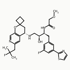 COCC(=O)N[C@@H](Cc1cc(F)cc(-c2nccs2)c1)[C@@H](O)CN[C@H]1CC2(CCC2)Oc2cnc(CC(C)(C)F)cc21